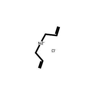 C=C[CH2][Nd+][CH2]C=C.[Cl-]